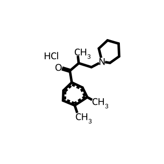 Cc1ccc(C(=O)C(C)CN2CCCCC2)cc1C.Cl